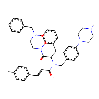 CCN1CCN(c2ccc(CN(C(=O)C=Cc3ccc(C(F)(F)F)cc3)C(Cc3ccccc3)C(=O)N3CCN(Cc4ccccc4)CC3)cc2)CC1